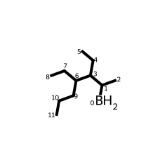 BC(C)C(CC)C(CC)CCC